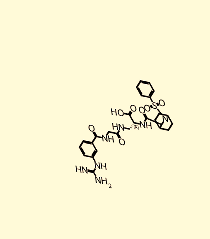 N=C(N)Nc1cccc(C(=O)NCC(=O)NC[C@@H](NC(=O)C2C3CCC(CC3)N2S(=O)(=O)c2ccccc2)C(=O)O)c1